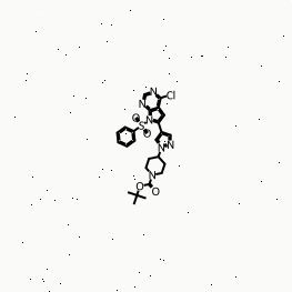 CC(C)(C)OC(=O)N1CCC(n2cc(-c3cc4c(Cl)ncnc4n3S(=O)(=O)c3ccccc3)cn2)CC1